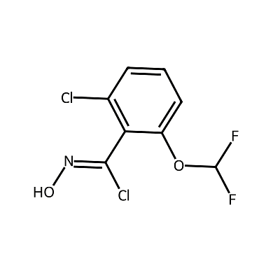 ON=C(Cl)c1c(Cl)cccc1OC(F)F